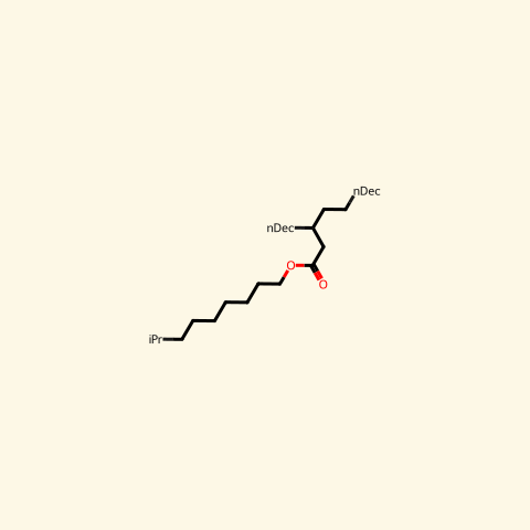 CCCCCCCCCCCCC(CCCCCCCCCC)CC(=O)OCCCCCCCC(C)C